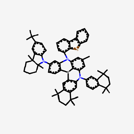 Cc1cc2c3c(c1)N(c1cccc4c1sc1ccccc14)c1cc(N4c5ccc(C(C)(C)C)cc5C5(C)CCCCC45C)ccc1B3c1cc3c(cc1N2c1ccc2c(c1)C(C)(C)CCC2(C)C)C(C)(C)CCC3(C)C